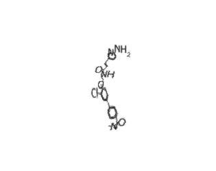 CN(C)C(=O)c1ccc(-c2ccc(OCCNC(=O)/C=C/c3ccc(N)nc3)c(Cl)c2)cc1